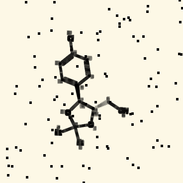 CCC1(CC)O[C@@H](CO)[C@H](c2ccc(Cl)cc2)O1